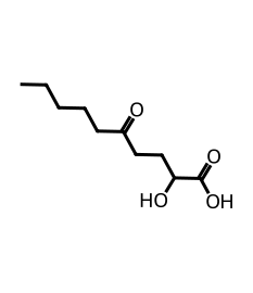 CCCCCC(=O)CCC(O)C(=O)O